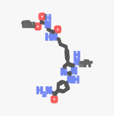 CCCNc1nc(Nc2ccc(C(N)=O)cc2)ncc1C#CCCCNC(=O)CNC(=O)OC(C)(C)C